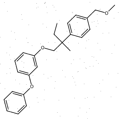 CCC(C)(COc1cccc(Oc2ccccc2)c1)c1ccc(COC)cc1